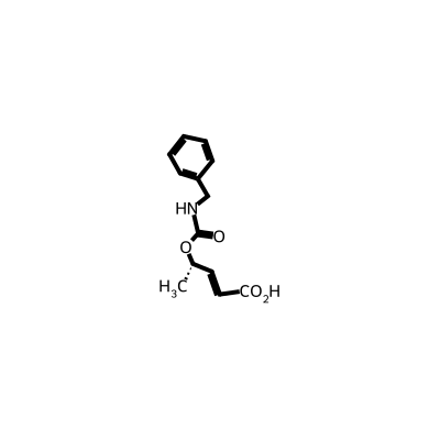 C[C@@H](/C=C/C(=O)O)OC(=O)NCc1ccccc1